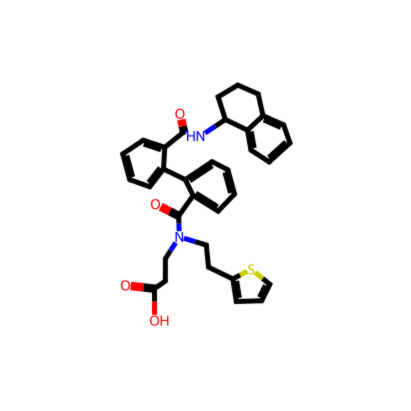 O=C(O)CCN(CCc1cccs1)C(=O)c1ccccc1-c1ccccc1C(=O)NC1CCCc2ccccc21